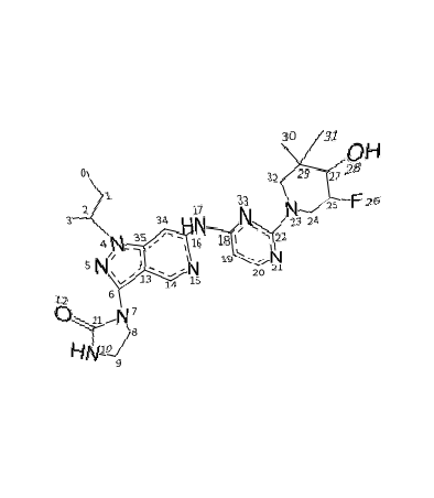 CCC(C)n1nc(N2CCNC2=O)c2cnc(Nc3ccnc(N4CC(F)C(O)C(C)(C)C4)n3)cc21